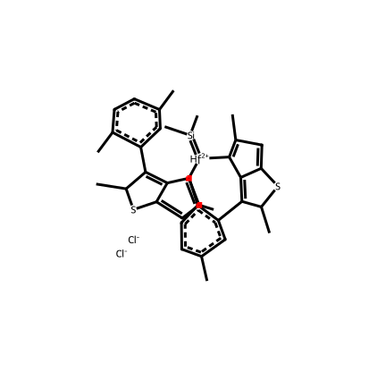 CC1=[C]([Hf+2]([C]2=C(C)C=C3SC(C)C(c4cc(C)ccc4C)=C32)=[Si](C)C)C2=C(c3cc(C)ccc3C)C(C)SC2=C1.[Cl-].[Cl-]